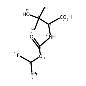 CCCC(F)OC(=O)NC(C(=O)O)C(C)(C)O